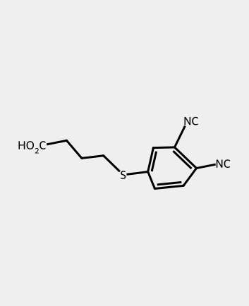 [C-]#[N+]c1ccc(SCCCC(=O)O)cc1[N+]#[C-]